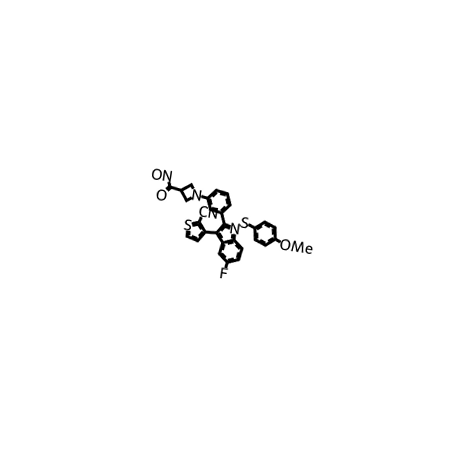 COc1ccc(Sn2c(-c3cccc(N4CC(C(=O)N=O)C4)c3)c(-c3ccsc3C#N)c3cc(F)ccc32)cc1